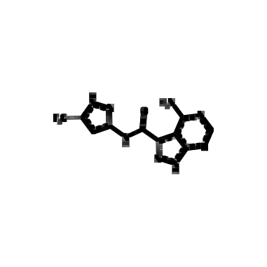 Nc1ncnc2[nH]nc(C(=O)Nc3cc(C(F)(F)F)[nH]n3)c12